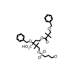 CC(C)(COCc1ccccc1)C(=O)OCC[C@](OCc1ccccc1)(C(=O)O)C(C)(C)COS(=O)(=O)CCCCl